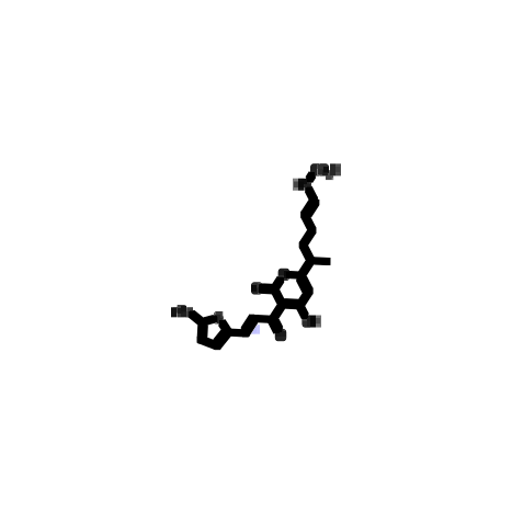 CCCCc1ccc(/C=C/C(=O)c2c(O)cc(C(C)CCC=CNC(=O)O)oc2=O)s1